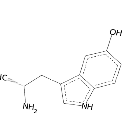 N[C@H]([C]=O)Cc1c[nH]c2ccc(O)cc12